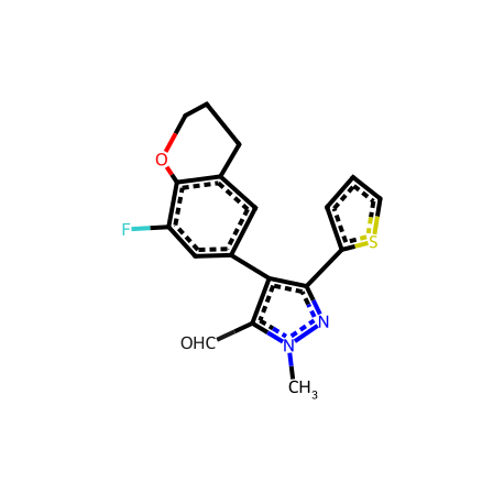 Cn1nc(-c2cccs2)c(-c2cc(F)c3c(c2)CCCO3)c1C=O